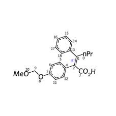 CCC/C(=C(\C(=O)O)c1ccc(OCOC)cc1)c1ccccc1